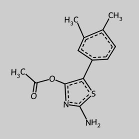 CC(=O)Oc1nc(N)sc1-c1ccc(C)c(C)c1